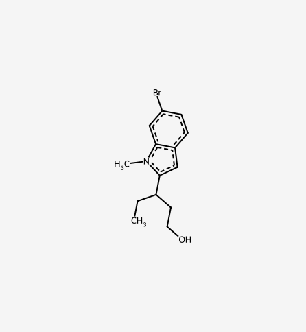 CCC(CCO)c1cc2ccc(Br)cc2n1C